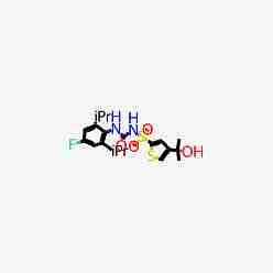 CC(C)c1cc(F)cc(C(C)C)c1NC(=O)NS(=O)(=O)c1cc(C(C)(C)O)cs1